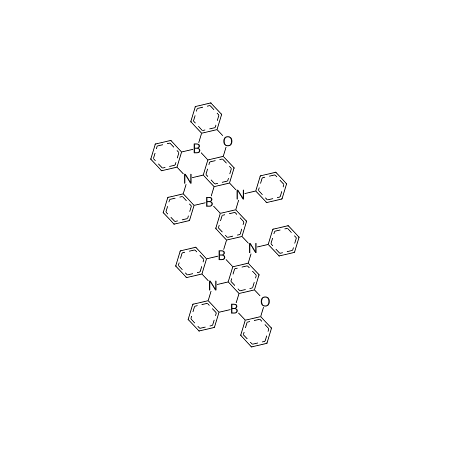 c1ccc(N2c3cc4c(cc3B3c5ccccc5N5c6ccccc6B6c7ccccc7Oc7cc2c3c5c76)B2c3ccccc3N3c5ccccc5B5c6ccccc6Oc6cc(c2c3c65)N4c2ccccc2)cc1